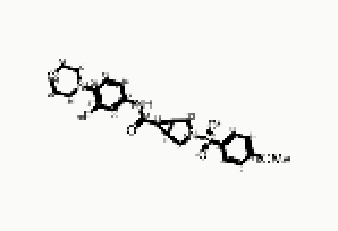 COc1ccc(S(=O)(=O)N2CC3C(C2)C3C(=O)Nc2ccc(N3CCOCC3)c(F)c2)cc1